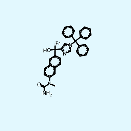 CC(C)C(O)(c1ccc2cc(N(C)C(N)=O)ccc2c1)c1cn(C(c2ccccc2)(c2ccccc2)c2ccccc2)cn1